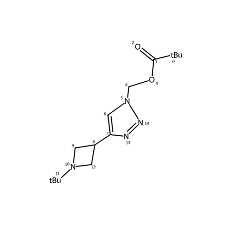 CC(C)(C)C(=O)OCn1cc(C2CN(C(C)(C)C)C2)nn1